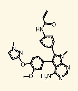 C=CC(=O)Nc1ccc(-c2c(-c3ccc(Oc4ccn(C)n4)c(OC)c3)c3c(N)ncnc3n2C)cc1